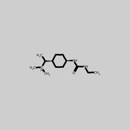 CCNC(=O)N[C@H]1CC[C@@H](C(C)[SH](C)C)CC1